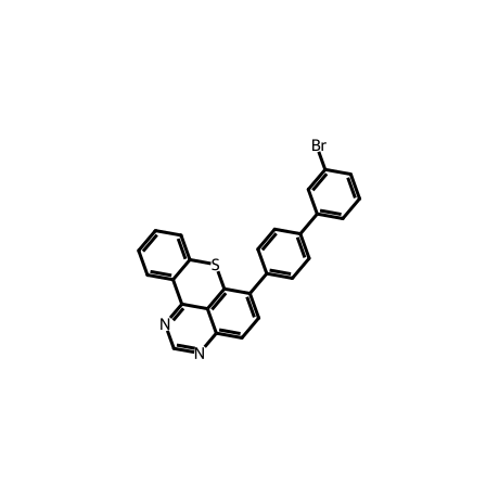 Brc1cccc(-c2ccc(-c3ccc4ncnc5c4c3Sc3ccccc3-5)cc2)c1